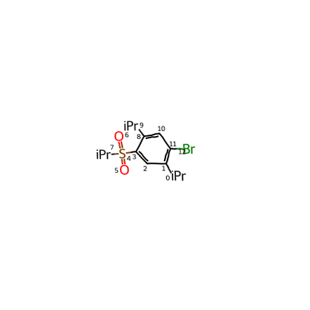 CC(C)c1cc(S(=O)(=O)C(C)C)c(C(C)C)cc1Br